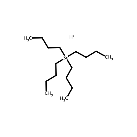 CCC[CH2][Sn]([CH2]CCC)([CH2]CCC)[CH2]CCC.[H+]